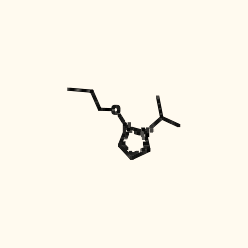 CCCOn1ccc[n+]1C(C)C